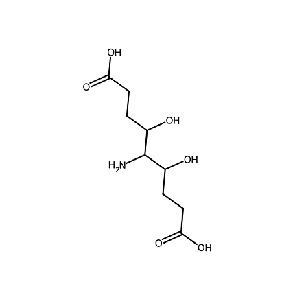 NC(C(O)CCC(=O)O)C(O)CCC(=O)O